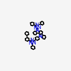 c1ccc(-c2cccc(-c3nc(-c4ccccc4)nc(-c4ccc(-n5c6ccccc6c6ccc7c(c8ccccc8n7-c7nc(-c8ccccc8)nc(-c8ccccc8)n7)c65)cc4)n3)c2)cc1